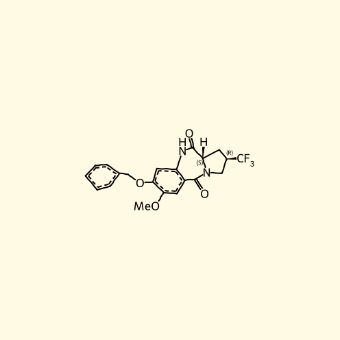 COc1cc2c(cc1OCc1ccccc1)NC(=O)[C@@H]1C[C@@H](C(F)(F)F)CN1C2=O